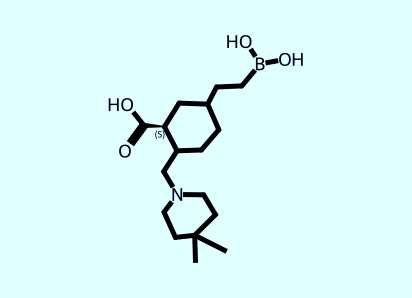 CC1(C)CCN(CC2CCC(CCB(O)O)C[C@@H]2C(=O)O)CC1